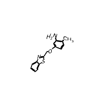 Cc1ccc(OCc2nc3ccccc3s2)cc1N